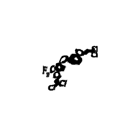 FC(F)(F)c1cc(Oc2cccc(OCC=C(Cl)Cl)c2)ccc1OCC=C(Cl)Cl